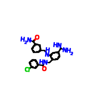 N=C(N)c1ccc(CNC(=O)c2cccc(Cl)c2)c(NCc2cccc(C(N)=O)c2)c1